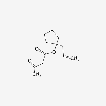 C=CCC1(OC(=O)CC(C)=O)CCCC1